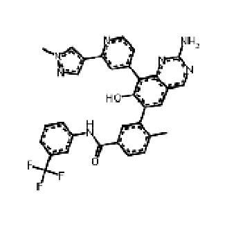 Cc1ccc(C(=O)Nc2cccc(C(F)(F)F)c2)cc1-c1cc2cnc(N)nc2c(-c2ccnc(-c3cnn(C)c3)c2)c1O